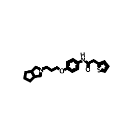 O=C(Cc1cccs1)Nc1ccc(OCCCN2CC3CCCC3C2)cc1